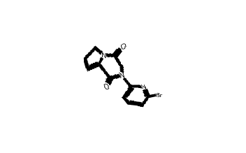 O=C1CN(c2cccc(Br)n2)C(=O)C2=CCCN12